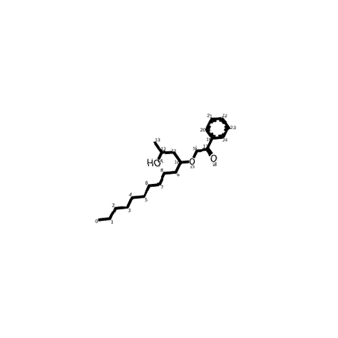 CCCCCCCCCCC(CC(C)O)OCC(=O)c1ccccc1